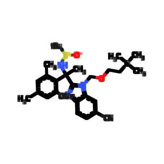 COc1cc(C)cc(C)c1C(C)(N[S+]([O-])C(C)(C)C)c1nc2ccc(C#N)cc2n1COCC[Si](C)(C)C